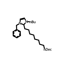 CCCCCCCCCCCCCCCCCCC1N(CCCC)C=CN1Cc1ccccc1